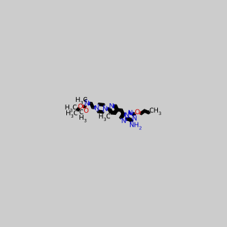 CCCCOc1nc(N)c2ncc(Cc3cnc(N4CCN(CCN(C)C(=O)OC(C)(C)C)CC4)c(C)c3)n2n1